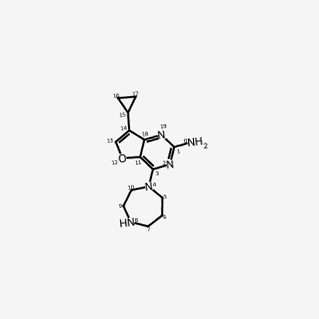 Nc1nc(N2CCCNCC2)c2occ(C3CC3)c2n1